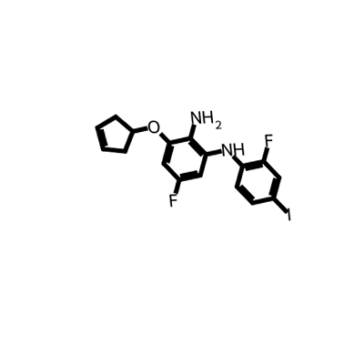 Nc1c(Nc2ccc(I)cc2F)cc(F)cc1OC1CC=CC1